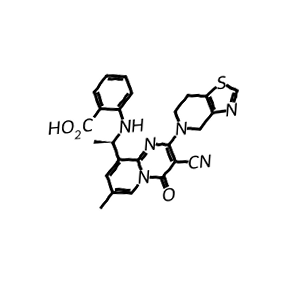 Cc1cc([C@@H](C)Nc2ccccc2C(=O)O)c2nc(N3CCc4scnc4C3)c(C#N)c(=O)n2c1